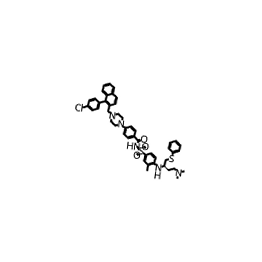 Cc1cc(S(=O)(=O)NC(=O)c2ccc(N3CCN(Cc4ccc5ccccc5c4-c4ccc(Cl)cc4)CC3)cc2)ccc1N[C@H](CCN(C)C)CSc1ccccc1